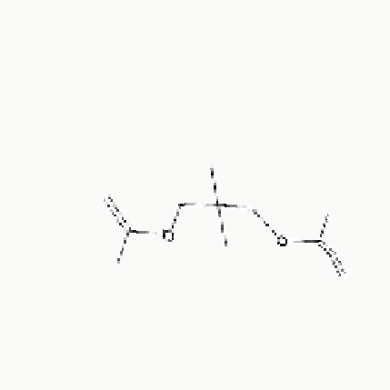 C=C(C)OCC(C)(C)COC(=C)C